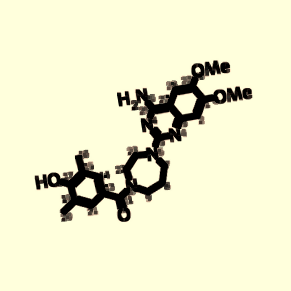 COc1cc2nc(N3CCCN(C(=O)c4cc(C)c(O)c(C)c4)CC3)nc(N)c2cc1OC